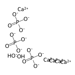 O=P([O-])([O-])[O-].O=P([O-])([O-])[O-].O=P([O-])([O-])[O-].[Ca+2].[Ca+2].[Ca+2].[Ca+2].[Ca+2].[OH-].[OH]